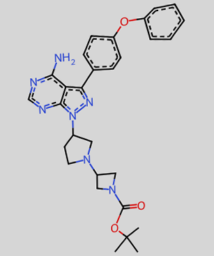 CC(C)(C)OC(=O)N1CC(N2CCC(n3nc(-c4ccc(Oc5ccccc5)cc4)c4c(N)ncnc43)C2)C1